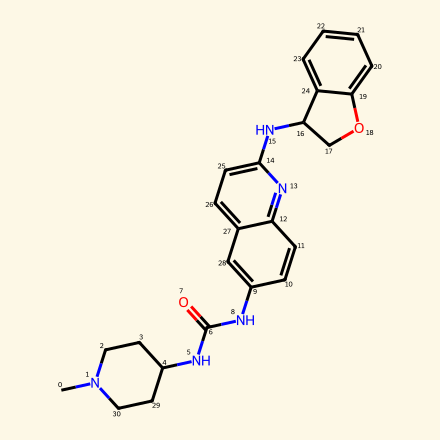 CN1CCC(NC(=O)Nc2ccc3nc(NC4COc5ccccc54)ccc3c2)CC1